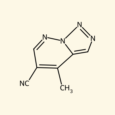 Cc1c(C#N)cnn2nncc12